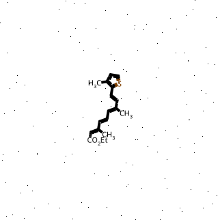 CCOC(=O)/C=C(\C)C=CC=C(C)C=Cc1sccc1C